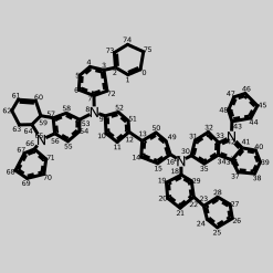 C1=CC(c2cccc(N(c3ccc(-c4ccc(N(c5cccc(-c6ccccc6)c5)c5ccc6c(c5)c5ccccc5n6-c5ccccc5)cc4)cc3)c3ccc4c(c3)C3C=CCCC3N4c3ccccc3)c2)=CCC1